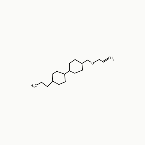 C=CCOCC1CCC(C2CCC(CCC)CC2)CC1